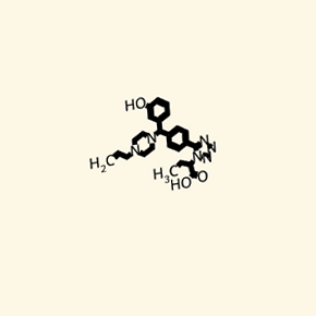 C=CCN1CCN(C(c2ccc(-c3nnnn3C(CC)C(=O)O)cc2)c2cccc(O)c2)CC1